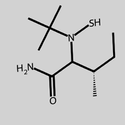 CC[C@H](C)C(C(N)=O)N(S)C(C)(C)C